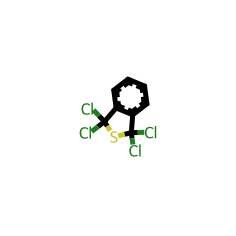 ClC1(Cl)SC(Cl)(Cl)c2ccccc21